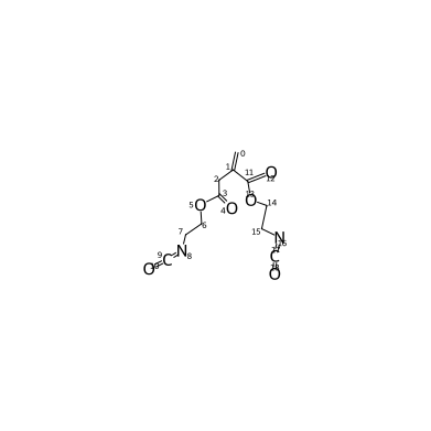 C=C(CC(=O)OCCN=C=O)C(=O)OCCN=C=O